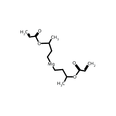 C=CC(=O)OC(C)C[CH2][Mg][CH2]CC(C)OC(=O)C=C